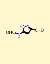 O=CNc1cc(C=O)n[nH]1